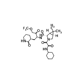 CC1(C)[C@@H]2[C@@H](C(=O)NC(C[C@@H]3CCCNC3=O)C(=O)COC(F)(F)F)N(C(=O)C(=O)NC3CCCCC3)C[C@@H]21